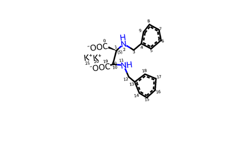 O=C([O-])[C@@H](NCc1ccccc1)[C@@H](NCc1ccccc1)C(=O)[O-].[K+].[K+]